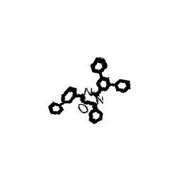 c1ccc(-c2cc(-c3ccccc3)cc(-c3nc(-c4cccc(-c5ccccc5)c4)c4oc5ccccc5c4n3)c2)cc1